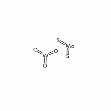 [O]=[W](=[O])=[O].[S]=[Mo]=[S]